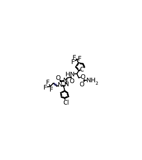 NC(=O)OCC(NC(=O)Cn1nc(-c2ccc(Cl)cc2)n(/C=C/C(F)(F)F)c1=O)c1cccc(C(F)(F)F)c1